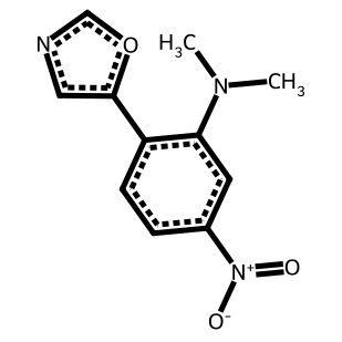 CN(C)c1cc([N+](=O)[O-])ccc1-c1cnco1